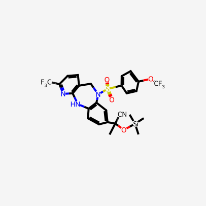 CC(C#N)(O[Si](C)(C)C)c1ccc2c(c1)N(S(=O)(=O)c1ccc(OC(F)(F)F)cc1)Cc1ccc(C(F)(F)F)nc1N2